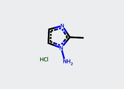 Cc1nccn1N.Cl